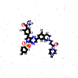 Cc1ccc(S(=O)(=O)n2cc(-c3ccc(C(=O)N(C)C)c(C)c3)c3nc(-c4cc(C)c5c(c4)CN(CCC(=O)N4CCN(C)CC4)CC5)cnc32)cc1